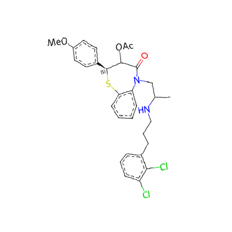 COc1ccc([C@@H]2Sc3ccccc3N(CC(C)NCCCc3cccc(Cl)c3Cl)C(=O)C2OC(C)=O)cc1